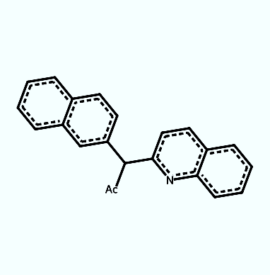 CC(=O)C(c1ccc2ccccc2c1)c1ccc2ccccc2n1